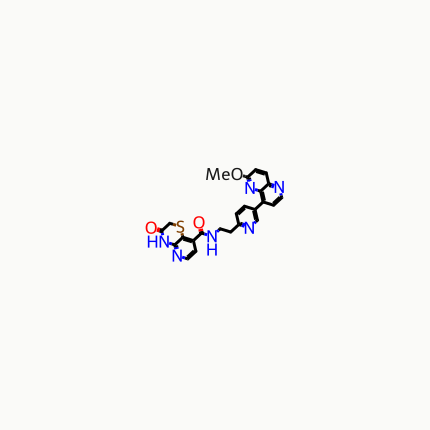 COc1ccc2nccc(-c3ccc(CCNC(=O)c4ccnc5c4SCC(=O)N5)nc3)c2n1